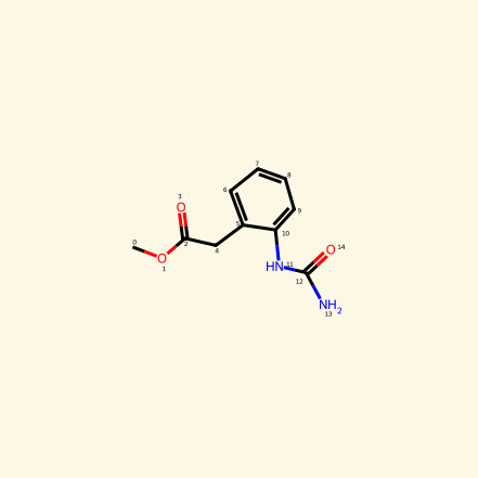 COC(=O)Cc1ccccc1NC(N)=O